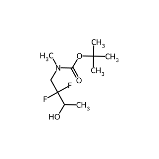 CC(O)C(F)(F)CN(C)C(=O)OC(C)(C)C